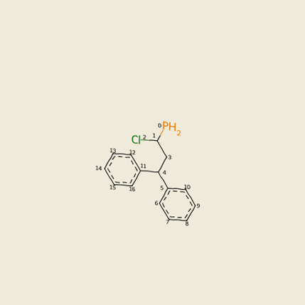 PC(Cl)CC(c1ccccc1)c1ccccc1